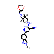 Cn1cc2cc(-c3cc(C#N)c(N[C@H]4C[C@@H]5CN(C[C@@H]6COCCO6)C[C@@H]5C4)nn3)ccc2n1